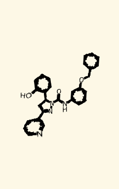 O=C(Nc1cccc(OCc2ccccc2)c1)N1N=C(c2cccnc2)CC1c1ccccc1O